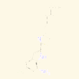 Nc1cc(Cl)cc2cc(C3=N[C@H](CCCCC(=O)O)CS3)[nH]c12